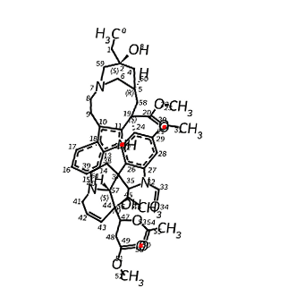 CC[C@]1(O)C[C@@H]2CN(CCc3c([nH]c4ccccc34)[C@@](C(=O)OC)(c3cc4c(cc3OC)N(C=O)C(O)C43CCN4CC=C[C@@](CC)(C(CC(=O)OC)OC(C)=O)[C@H]43)C2)C1